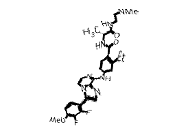 CCc1cc(Nc2nccn3c(-c4ccc(OC)c(F)c4F)cnc23)ccc1C(=O)N[C@H](C)C(=O)NCCNC